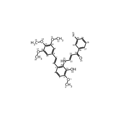 COc1ccc(C=Cc2cc(OC)c(OC)c(OC)c2)c(NC=CC(=O)c2cccc(F)c2)c1O